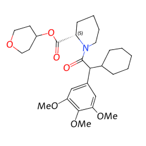 COc1cc(C(C(=O)N2CCCC[C@H]2C(=O)OC2CCOCC2)C2CCCCC2)cc(OC)c1OC